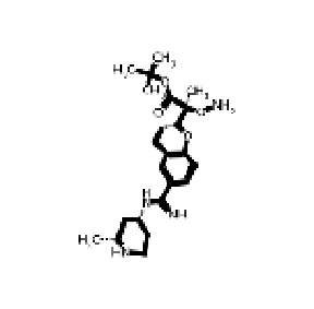 C[C@@H]1C[C@H](NC(=N)c2ccc3c(c2)CC[C@H]([C@](C)(ON)C(=O)OC(C)(C)C)O3)CCN1